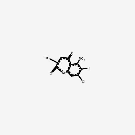 O=c1[nH]c2cc(Cl)c(Cl)c([N+](=O)[O-])c2c(=O)cc1O